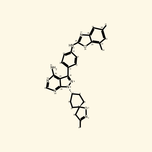 CC1=NO[C@]2(CC[C@@H](n3nc(-c4ccc(Nc5nc6cc(C)cc(C)c6o5)cc4)c4c(N)ncnc43)CC2)C1